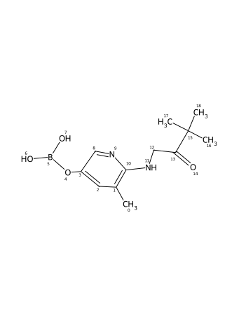 Cc1cc(OB(O)O)cnc1NCC(=O)C(C)(C)C